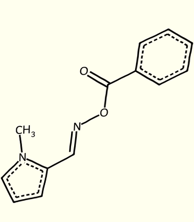 Cn1cccc1/C=N/OC(=O)c1ccccc1